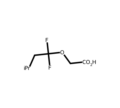 CC(C)CC(F)(F)OCC(=O)O